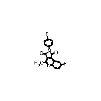 Cc1nc2ccc(F)cc2c2c1C(=O)N(c1ccc(F)cc1)C2=O